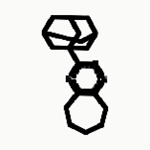 C1CCc2nnc(C34CC5CC(CC(C5)C3)C4)nc2CC1